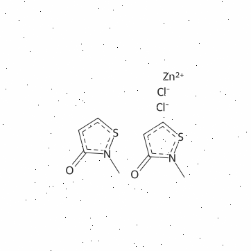 Cn1sccc1=O.Cn1sccc1=O.[Cl-].[Cl-].[Zn+2]